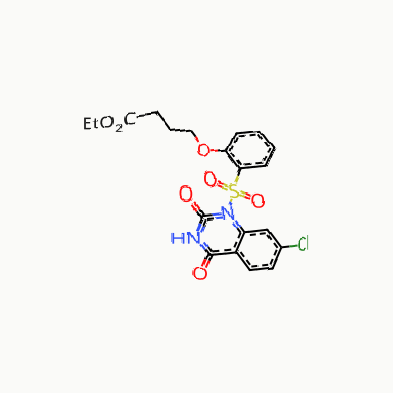 CCOC(=O)CCCOc1ccccc1S(=O)(=O)n1c(=O)[nH]c(=O)c2ccc(Cl)cc21